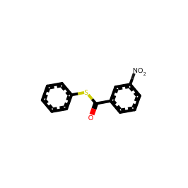 O=C(Sc1ccccc1)c1cccc([N+](=O)[O-])c1